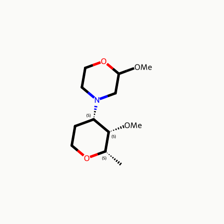 COC1CN([C@H]2CCO[C@@H](C)[C@H]2OC)CCO1